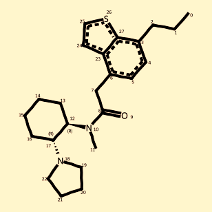 CCCc1ccc(CC(=O)N(C)[C@@H]2CCCC[C@H]2N2CCCC2)c2ccsc12